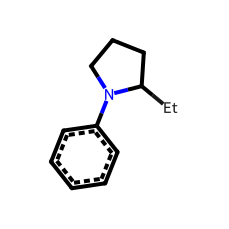 CCC1CCCN1c1ccccc1